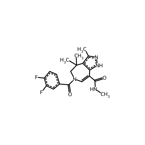 CNC(=O)C1=CN(C(=O)c2ccc(F)c(F)c2)CC(C)(C)c2c(C)n[nH]c21